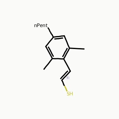 CCCCCc1cc(C)c(/C=C/S)c(C)c1